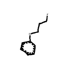 FCCCOc1c[c]ccc1